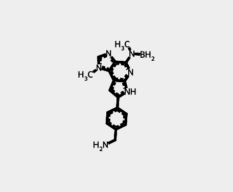 BN(C)c1nc2[nH]c(-c3ccc(CN)cc3)cc2c2c1ncn2C